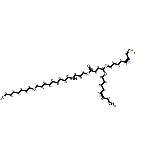 CC/C=C\CCCCOC(CCC(=O)OCCCNCCCCCCCCCOCCCCCCCC)OCCCC/C=C\CC